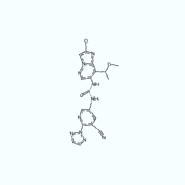 COC(C)c1c(NC(=O)Nc2cnc(-n3nccn3)c(C#N)c2)cnn2cc(Cl)nc12